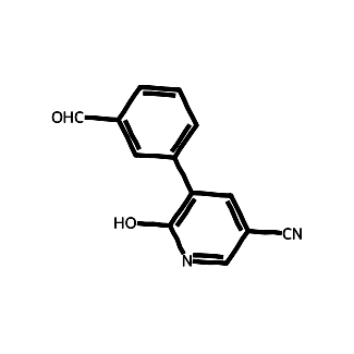 N#Cc1cnc(O)c(-c2cccc(C=O)c2)c1